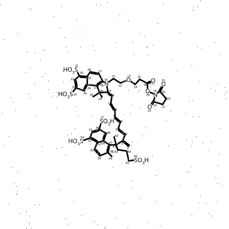 C=C(/C=C/C=C/C=C/C=C1/N(CCOCCC(=O)ON2C(=O)CCC2=O)c2ccc3c(S(=O)(=O)O)cc(S(=O)(=O)O)cc3c2C1(C)C)C(C)(CCCS(=O)(=O)O)c1c(C)ccc2c(S(=O)(=O)O)cc(S(=O)(=O)O)cc12